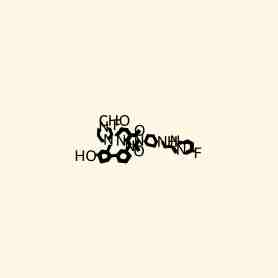 O=CN1CCCN(Cc2cc(O)ccc2-c2cccc(-n3c(=O)n([C@H]4CC[C@@H](NCc5cn6cc(F)ccc6n5)CC4)c(=O)c4cc(F)cnc43)c2)CC1